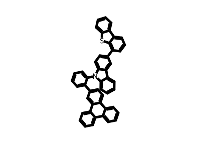 c1ccc(-n2c3ccccc3c3cc(-c4cccc5c4sc4ccccc45)ccc32)c(-c2ccc3c4ccccc4c4ccccc4c3c2)c1